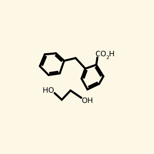 O=C(O)c1ccccc1Cc1ccccc1.OCCO